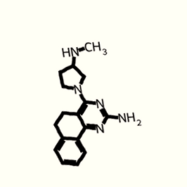 CNC1CCN(c2nc(N)nc3c2CCc2ccccc2-3)C1